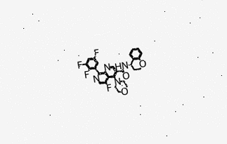 O=C(N[C@H]1CCOc2ccccc21)c1cnc2c(-c3cc(F)cc(F)c3F)ncc(F)c2c1N1CCOCC1